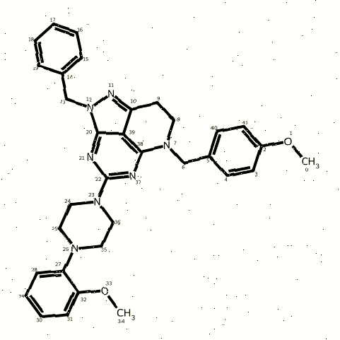 COc1ccc(CN2CCc3nn(Cc4ccccc4)c4nc(N5CCN(c6ccccc6OC)CC5)nc2c34)cc1